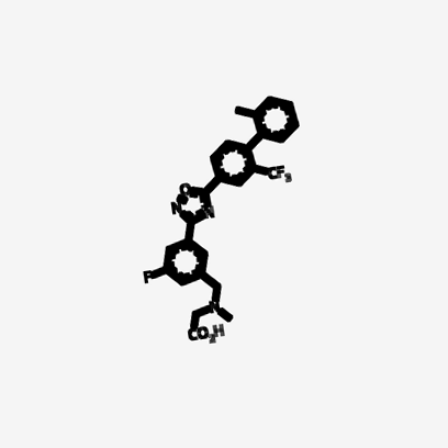 Cc1ccccc1-c1ccc(-c2nc(-c3cc(F)cc(CN(C)CC(=O)O)c3)no2)cc1C(F)(F)F